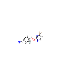 N#Cc1ccc(COc2nccc(Br)n2)c(F)c1